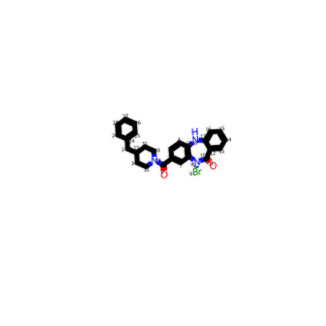 O=C(c1ccc2c(c1)N(Br)C(=O)c1ccccc1N2)N1CCC(Cc2ccccc2)CC1